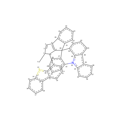 CC1C=CC2=C(C1c1cccc3c1sc1ccccc13)C1(c3ccccc32)c2ccccc2-n2c3ccccc3c3cccc1c32